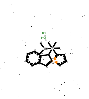 C[SiH](C)[Ti]([CH3])([CH3])([CH3])([c]1ccc[pH]1)[CH]1C=Cc2ccccc21.Cl.Cl